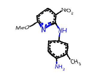 COc1ccc([N+](=O)[O-])c(Nc2ccc(N)c(C)c2)n1